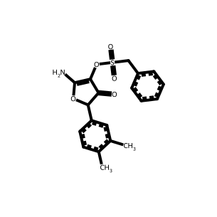 Cc1ccc(C2OC(N)=C(OS(=O)(=O)Cc3ccccc3)C2=O)cc1C